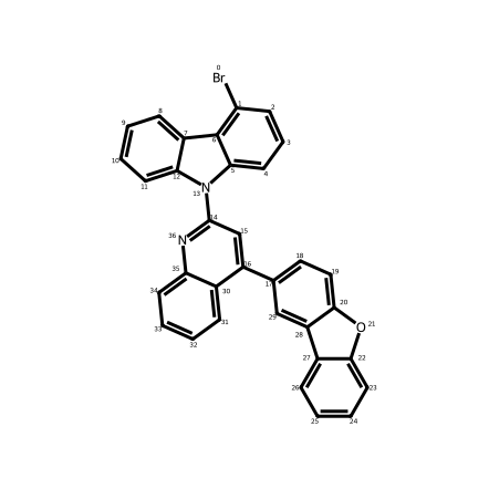 Brc1cccc2c1c1ccccc1n2-c1cc(-c2ccc3oc4ccccc4c3c2)c2ccccc2n1